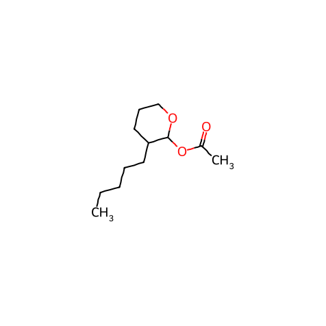 CCCCCC1CCCOC1OC(C)=O